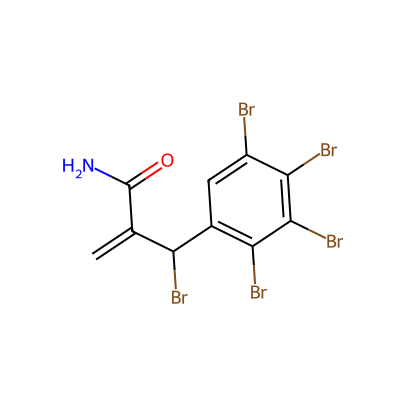 C=C(C(N)=O)C(Br)c1cc(Br)c(Br)c(Br)c1Br